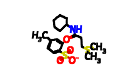 C[S+](C)CCC(=O)NC1CCCCC1.Cc1ccc(S(=O)(=O)[O-])cc1